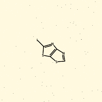 Ic1nc2ncsc2s1